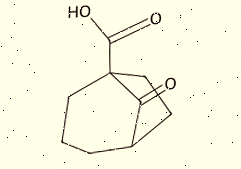 O=C(O)C12CCCC(CC1)C2=O